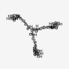 NC(CCC(=O)NCCOCCOCCOCc1cn([C@H]2[C@H]3OC[C@](CO)(O3)[C@H](O)[C@@H]2O)nn1)(CCC(=O)NCCOCCOCCOCc1cn([C@H]2[C@H]3OC[C@](CO)(O3)[C@H](O)[C@@H]2O)nn1)CCC(=O)NCCOCCOCCOCc1cn([C@H]2[C@H]3OC[C@](CO)(O3)[C@H](O)[C@@H]2O)nn1